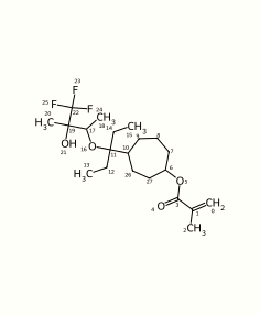 C=C(C)C(=O)OC1CCCC(C(CC)(CC)OC(C)C(C)(O)C(F)(F)F)CC1